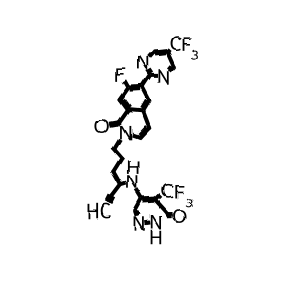 C#CC(CCCn1ccc2cc(-c3ncc(C(F)(F)F)cn3)c(F)cc2c1=O)Nc1cn[nH]c(=O)c1C(F)(F)F